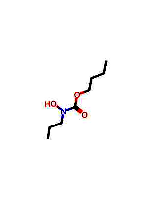 CCCCOC(=O)N(O)CCC